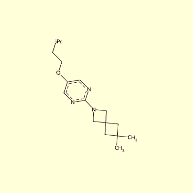 CC(C)CCOc1cnc(N2CC3(C2)CC(C)(C)C3)nc1